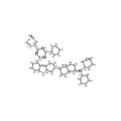 C#C/C=C(\C=C/C)c1nc(-c2ccccc2)nc(-c2cccc3c2-c2ccc(-c4ccc5cc(N(c6ccccc6)c6ccccc6)ccc5c4)cc2C3)n1